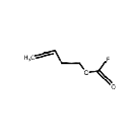 C=CCCOC(=O)F